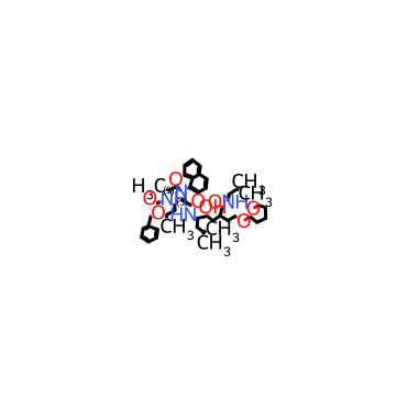 CCCC[C@@H](C(=O)NC(CC(C)C)C(O)CC(CCOC1CCCCO1)C(=O)NCC(C)C)N(C(=O)[C@H](C)NC(=O)OCc1ccccc1)c1cccc2ccccc12